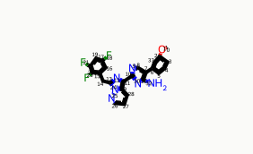 COc1cccc(-c2cnc(-c3nc(Cc4cc(F)cc(F)c4F)n4ncccc34)nc2N)c1